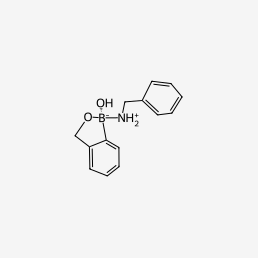 O[B@@-]1([NH2+]Cc2ccccc2)OCc2ccccc21